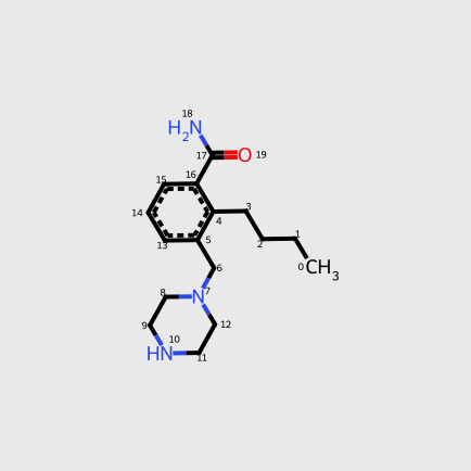 CCCCc1c(CN2CCNCC2)cccc1C(N)=O